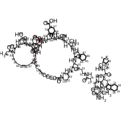 CN[C@@H](Cc1ccsc1)C(=O)N[C@@H](Cc1csc2ccccc12)C(=O)N[C@@H](CCC(=O)NCCCC[C@@H]1NC(=O)[C@H](Cc2ccccc2)NC(=O)[C@H](C)NC(=O)C(C)(C)NC(=O)[C@H](Cc2cccc(C(=O)O)c2)NC(=O)[C@H](CC(=O)O)NC(=O)[C@@]2(CCC/C=C\CCCCN(C(C)=O)C(=O)N[C@@H](CC(=O)O)C(=O)N[C@@H](C3CCCCC3)C(O)N2)CCC/C=C\CCCOC(=O)N2CCCC(C2)NC1=O)C(=O)N[C@@H](C)C(N)=O